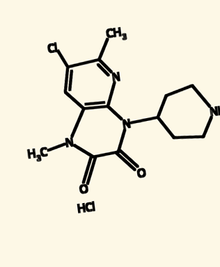 Cc1nc2c(cc1Cl)n(C)c(=O)c(=O)n2C1CCNCC1.Cl